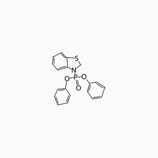 O=P(Oc1ccccc1)(Oc1ccccc1)N1CSc2ccccc21